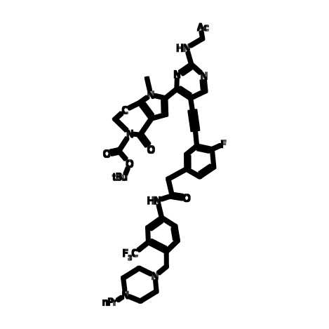 CCCN1CCN(Cc2ccc(NC(=O)Cc3ccc(F)c(C#Cc4cnc(NCC(C)=O)nc4-c4cc5c(n4C)CCN(C(=O)OC(C)(C)C)C5=O)c3)cc2C(F)(F)F)CC1